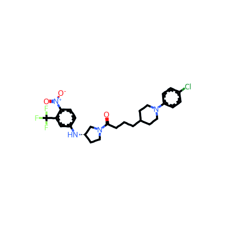 O=C(CCCC1CCN(c2ccc(Cl)cc2)CC1)N1CC[C@H](Nc2ccc([N+](=O)[O-])c(C(F)(F)F)c2)C1